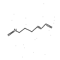 C=C/C=C/CCCN=C